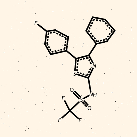 O=S(=O)(Nc1nc(-c2ccccc2)c(-c2ccc(F)cc2)s1)C(F)(F)F